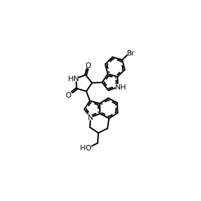 O=C1NC(=O)C(c2cn3c4c(cccc24)CC(CO)C3)C1c1c[nH]c2cc(Br)ccc12